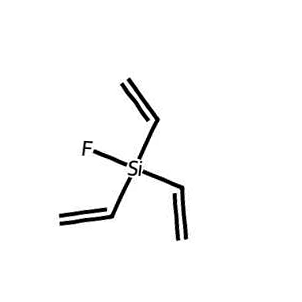 C=C[Si](F)(C=C)C=C